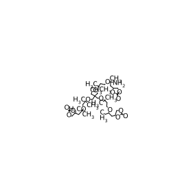 CCC(CC1COC(=O)O1)OCCC(C)(C)OCC(CC)(COC(C)(C)CCOC(C)(N)CC1COC(=O)O1)COC(C)(C)COC(C)(C)CC1COC(=O)O1